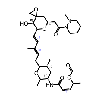 CC(/C=C/C1O[C@H](CC(=O)N2CCCCN2C)CC2(CO2)[C@@H]1O)=C\CC1OC(C)[C@H](NC(=O)/C=C\C(C)OC=O)C[C@@H]1C